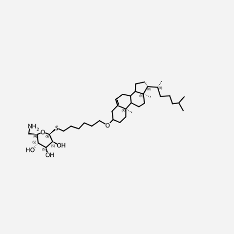 CC(C)CCC[C@@H](C)[C@H]1CCC2C3CC=C4CC(OCCCCCCS[C@@H]5O[C@H](CN)[C@@H](O)[C@H](O)[C@@H]5O)CC[C@]4(C)C3CC[C@@]21C